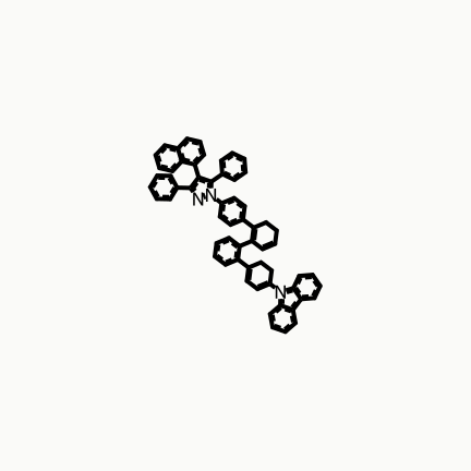 C1=CC(c2ccccc2C2=CC=C(n3c4ccccc4c4ccccc43)CC2)=C(c2ccc(-n3nc(-c4ccccc4)c(-c4cccc5ccccc45)c3-c3ccccc3)cc2)CC1